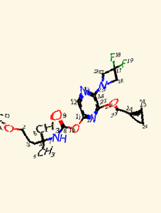 COCCC(C)(C)NC(=O)Oc1cnc(N2CC(F)(F)C2)c(OCC2CC2)n1